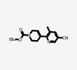 Cc1cc(C#N)cnc1C1=CCN(C(=O)OC(C)(C)C)CC1